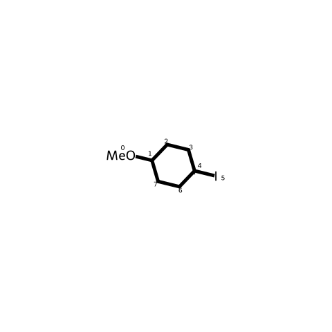 COC1CC[C](I)CC1